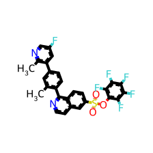 Cc1cc(-c2cc(F)cnc2C)ccc1-c1nccc2cc(S(=O)(=O)Oc3c(F)c(F)c(F)c(F)c3F)ccc12